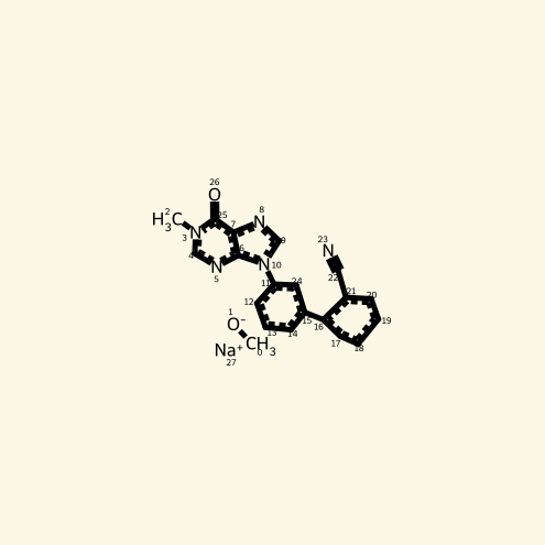 C[O-].Cn1cnc2c(ncn2-c2cccc(-c3ccccc3C#N)c2)c1=O.[Na+]